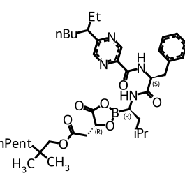 CCCCCC(C)(C)COC(=O)C[C@H]1OB([C@H](CC(C)C)NC(=O)[C@H](Cc2ccccc2)NC(=O)c2cnc(C(CC)CCCC)cn2)OC1=O